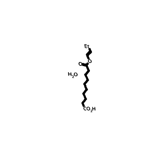 CCC=COC(=O)CCCCCCCCC(=O)O.O